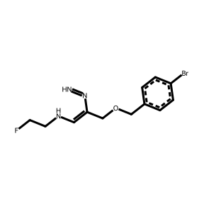 N=N/C(=C\NCCF)COCc1ccc(Br)cc1